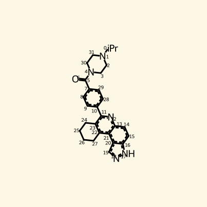 CC(C)N1CCN(C(=O)c2ccc(-c3nc4ccc5[nH]ncc5c4c4c3CCCC4)cc2)CC1